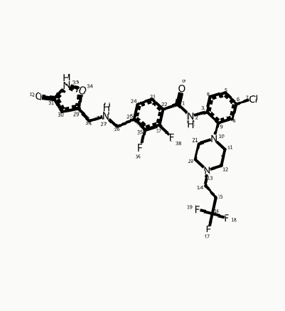 O=C(Nc1ccc(Cl)cc1N1CCN(CCC(F)(F)F)CC1)c1ccc(CNCc2cc(=O)[nH]o2)c(F)c1F